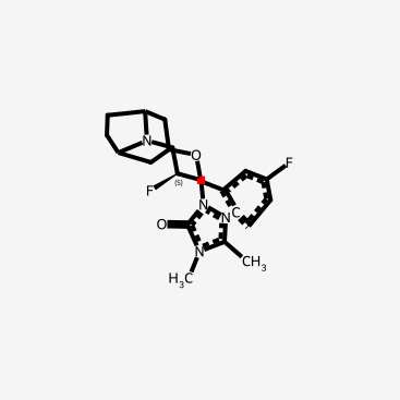 Cc1nn(C[C@@H](F)CN2C3CCC2CC(OCc2cccc(F)c2)C3)c(=O)n1C